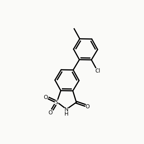 Cc1ccc(Cl)c(-c2ccc3c(c2)C(=O)NS3(=O)=O)c1